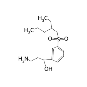 CCCC(CC)CS(=O)(=O)c1cccc(C(O)CCN)c1